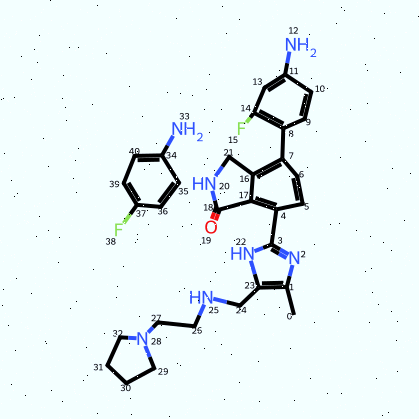 Cc1nc(-c2ccc(-c3ccc(N)cc3F)c3c2C(=O)NC3)[nH]c1CNCCN1CCCC1.Nc1ccc(F)cc1